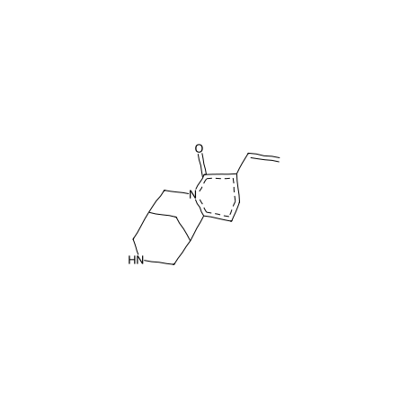 C=Cc1ccc2n(c1=O)CC1CNCC2C1